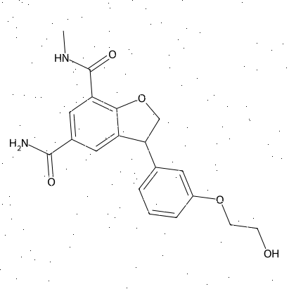 CNC(=O)c1cc(C(N)=O)cc2c1OCC2c1cccc(OCCO)c1